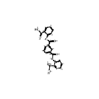 O=C(Oc1ccccc1C(=O)O)c1cccc(C(=O)Oc2ccccc2C(=O)O)c1